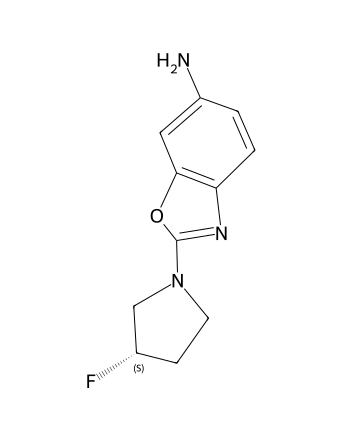 Nc1ccc2nc(N3CC[C@H](F)C3)oc2c1